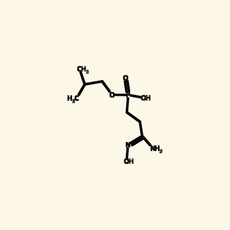 CC(C)COP(=O)(O)CCC(N)=NO